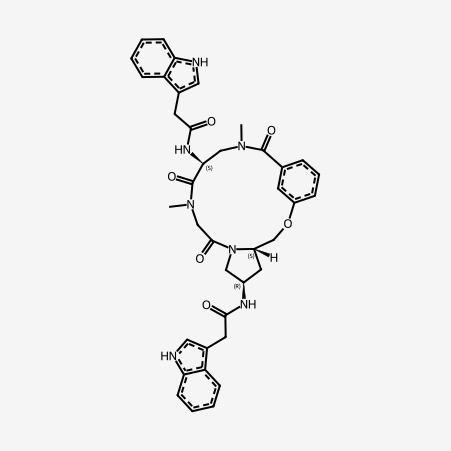 CN1C[C@H](NC(=O)Cc2c[nH]c3ccccc23)C(=O)N(C)CC(=O)N2C[C@H](NC(=O)Cc3c[nH]c4ccccc34)C[C@H]2COc2cccc(c2)C1=O